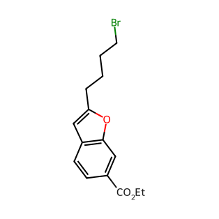 CCOC(=O)c1ccc2cc(CCCCBr)oc2c1